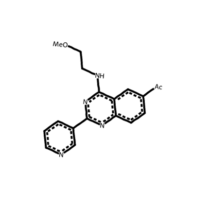 COCCNc1nc(-c2cccnc2)nc2ccc(C(C)=O)cc12